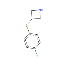 Fc1ccc(SC2CNC2)cc1